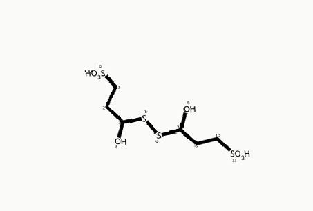 O=S(=O)(O)CCC(O)SSC(O)CCS(=O)(=O)O